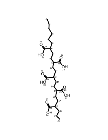 CCCCCCC(CCC(CCC(CCC(CCC(CCC)C(=O)O)C(=O)O)C(=O)O)C(=O)O)C(=O)O